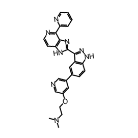 CN(C)CCOc1cncc(-c2ccc3[nH]nc(-c4nc5c(-c6ccccn6)nccc5[nH]4)c3c2)c1